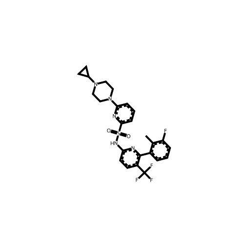 Cc1c(F)cccc1-c1nc(NS(=O)(=O)c2cccc(N3CCN(C4CC4)CC3)n2)ccc1C(F)(F)F